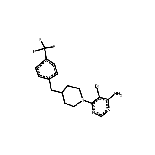 Nc1ncnc(N2CCC(Cc3ccc(C(F)(F)F)cc3)CC2)c1Br